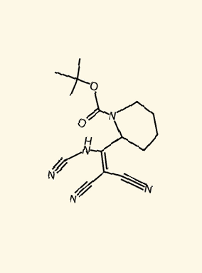 CC(C)(C)OC(=O)N1CCCCC1C(NC#N)=C(C#N)C#N